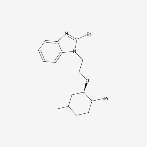 CCc1nc2ccccc2n1CCO[C@@H]1CC(C)CCC1C(C)C